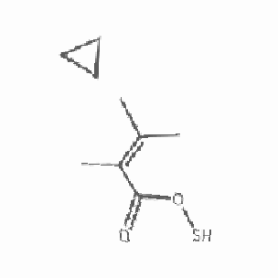 C1CC1.CC(C)=C(C)C(=O)OS